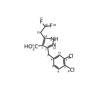 O=C(O)c1c(Cc2ccc(Cl)c(Cl)c2)n[nH]c1CC(F)F